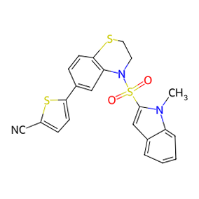 Cn1c(S(=O)(=O)N2CCSc3ccc(-c4ccc(C#N)s4)cc32)cc2ccccc21